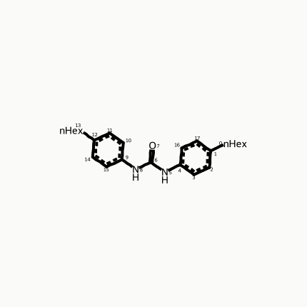 CCCCCCc1ccc(NC(=O)Nc2ccc(CCCCCC)cc2)cc1